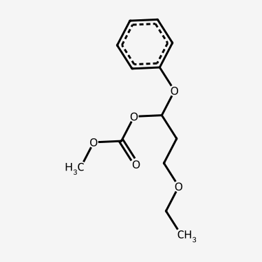 CCOCCC(OC(=O)OC)Oc1ccccc1